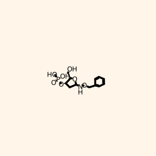 O=P(O)(O)O[C@H]1CC(NOCc2ccccc2)O[C@@H]1CO